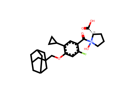 O=C(O)[C@@H]1CCC[N+]1(O)C(=O)c1cc(C2CC2)c(OCC23CC4CC(CC(C4)C2)C3)cc1F